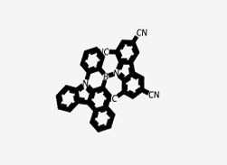 N#Cc1cc(C#N)c2c(c1)c1cc(C#N)cc(C#N)c1n2B1c2ccccc2-n2c3ccccc3c3c4ccccc4cc1c32